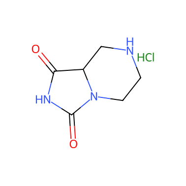 Cl.O=C1NC(=O)N2CCNCC12